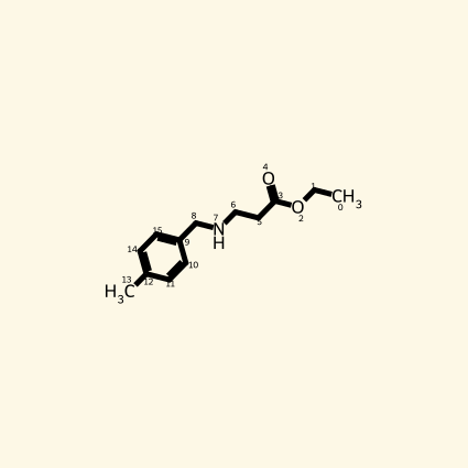 CCOC(=O)CCNCc1ccc(C)cc1